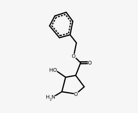 NC1OCC(C(=O)OCc2ccccc2)C1O